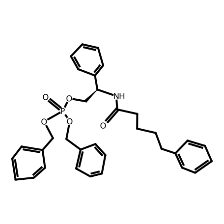 O=C(CCCCc1ccccc1)N[C@@H](COP(=O)(OCc1ccccc1)OCc1ccccc1)c1ccccc1